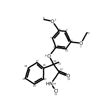 COc1cc(OC)cc(OC(C)(C(=O)NCl)c2ccccc2)c1